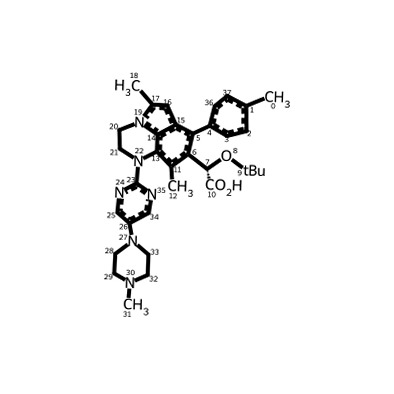 Cc1ccc(-c2c([C@H](OC(C)(C)C)C(=O)O)c(C)c3c4c2cc(C)n4CCN3c2ncc(N3CCN(C)CC3)cn2)cc1